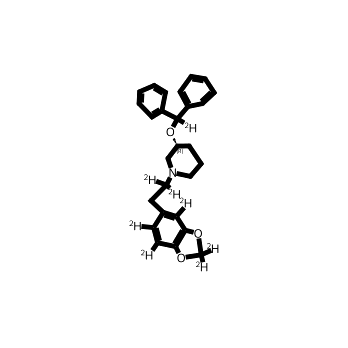 [2H]c1c([2H])c2c(c([2H])c1CC([2H])([2H])N1CCC[C@@H](OC([2H])(c3ccccc3)c3ccccc3)C1)OC([2H])([2H])O2